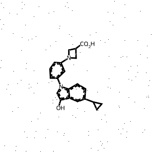 O=C(O)C1CN(c2cccc(-n3cc(O)c4cc(C5CC5)ccc43)c2)C1